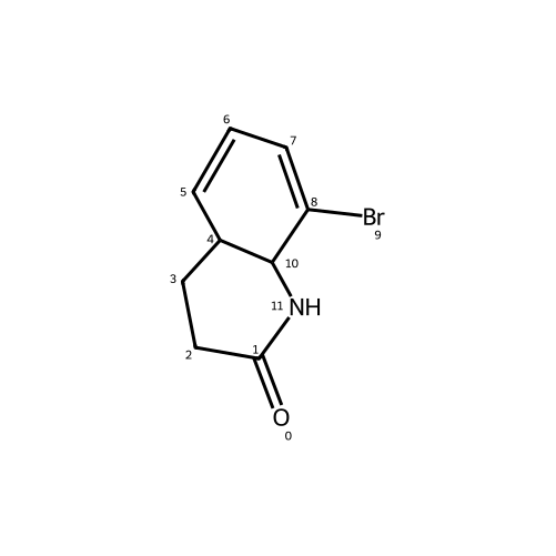 O=C1CCC2C=CC=C(Br)C2N1